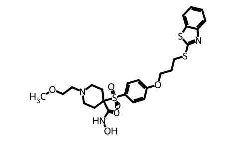 COCCN1CCC(C(=O)NO)(S(=O)(=O)c2ccc(OCCCSc3nc4ccccc4s3)cc2)CC1